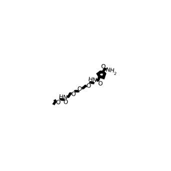 CC(C)OCC(=O)NCCOCCOCCOCCNC(=O)c1ccc(C(N)=O)cc1